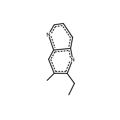 CCc1nc2cccnc2cc1C